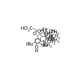 CCC(C1CCN(C)C(C)(C)C1(C)C)C(Cc1cc(C(C)(C)C)c(O)c(C(C)(C)C)c1)(OC(=O)CC(=O)O)C1CCN(C)C(C)(C)C1(C)C